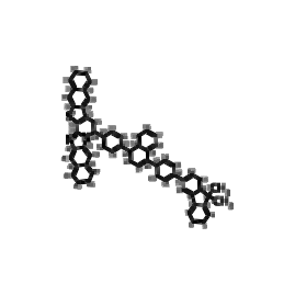 CC1(C)c2ccccc2-c2cc(-c3ccc(-c4ccc(-c5ccc(-c6cc7c8cc9ccccc9cc8sc7c7nc8cc9ccccc9cc8n67)cc5)c5ccccc45)cc3)ccc21